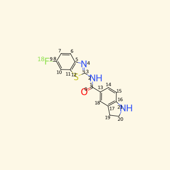 O=C(Nc1nc2ccc([18F])cc2s1)c1ccc2c(c1)CCN2